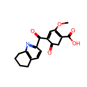 COC1=C(C(=O)O)CC(=O)C(C(=O)c2ccc3c(n2)CCCC3)=C1